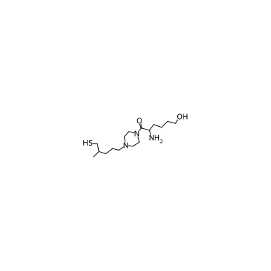 CC(CS)CCCN1CCN(C(=O)C(N)CCCCO)CC1